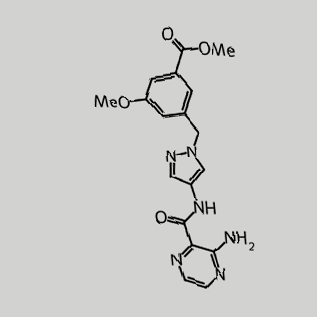 COC(=O)c1cc(Cn2cc(NC(=O)c3nccnc3N)cn2)cc(OC)c1